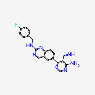 N=Cc1c(N)ncnc1-c1ccc2nc(NCc3ccc(F)cc3)ncc2c1